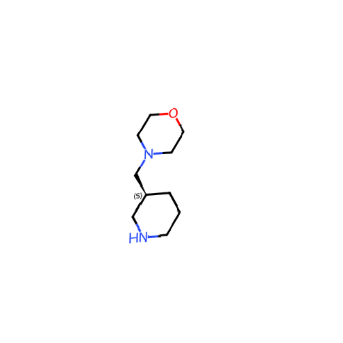 C1CNC[C@@H](CN2CCOCC2)C1